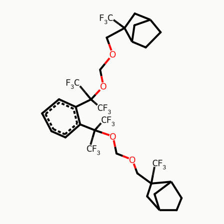 FC(F)(F)C1(COCOC(c2ccccc2C(OCOCC2(C(F)(F)F)CC3CCC2C3)(C(F)(F)F)C(F)(F)F)(C(F)(F)F)C(F)(F)F)CC2CCC1C2